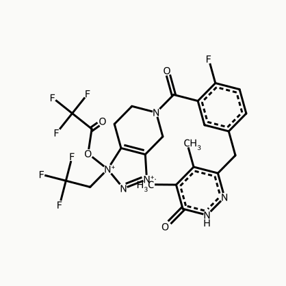 Cc1c(Cc2ccc(F)c(C(=O)N3CCC4=C(C3)[N+]=N[N+]4(CC(F)(F)F)OC(=O)C(F)(F)F)c2)n[nH]c(=O)c1C